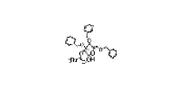 CC(C)(C)C(=O)O[C@@H]1[C@@H](OCc2ccccc2)[C@H](OCc2ccccc2)[C@@H](COCc2ccccc2)O[C@@H]1O